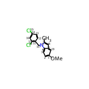 COc1ccc2c([c]c(C)n2Cc2ccc(Cl)cc2Cl)c1